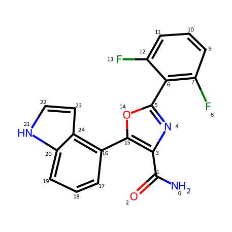 NC(=O)c1nc(-c2c(F)cccc2F)oc1-c1cccc2[nH]ccc12